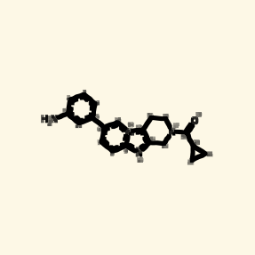 Nc1cccc(-c2ccc3nc4c(n3c2)CCN(C(=O)C2CC2)C4)c1